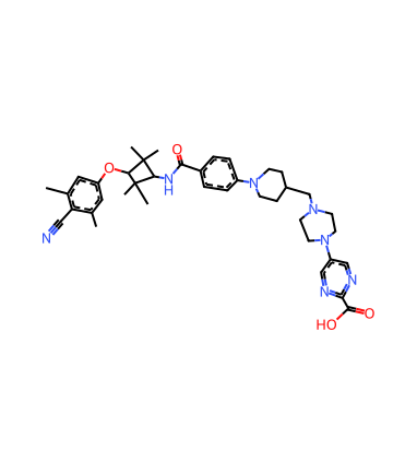 Cc1cc(OC2C(C)(C)C(NC(=O)c3ccc(N4CCC(CN5CCN(c6cnc(C(=O)O)nc6)CC5)CC4)cc3)C2(C)C)cc(C)c1C#N